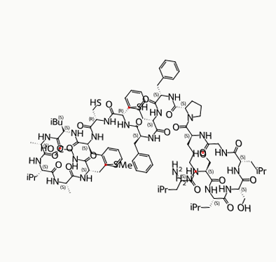 CC[C@H](C)[C@H](NC(=O)[C@H](Cc1ccccc1)NC(=O)[C@H](CS)NC(=O)[C@H](CS)NC(=O)[C@H](Cc1ccccc1)NC(=O)[C@H](Cc1ccccc1)NC(=O)[C@H](Cc1ccccc1)NC(=O)[C@@H]1CCCN1C(=O)[C@H](CCCCN)NC(=O)CNC(=O)[C@H](CC(C)C)NC(=O)[C@H](CO)NC(=O)[C@H](CC(C)C)NC(=O)[C@H](CO)NC(=O)[C@@H](N)CC(C)C)C(=O)N[C@@H](C)C(=O)N[C@H](C(=O)N[C@@H](C)C(=O)N[C@@H](CCSC)C(=O)NCC(=O)O)C(C)C